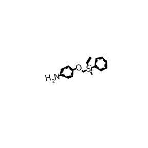 C=C[Si](C)(COc1ccc(N)cc1)c1ccccc1